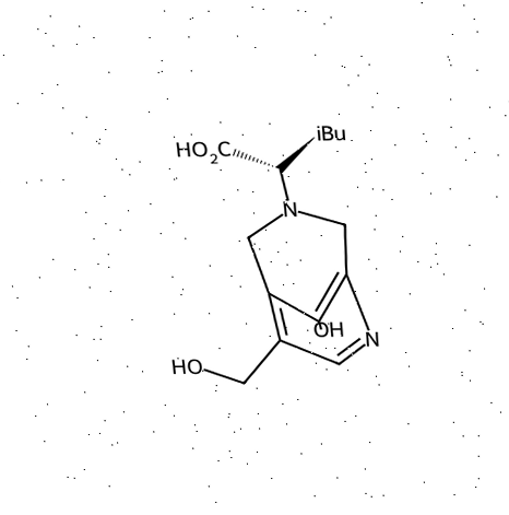 CC[C@H](C)[C@@H](C(=O)O)N1Cc2ncc(CO)c(c2O)C1